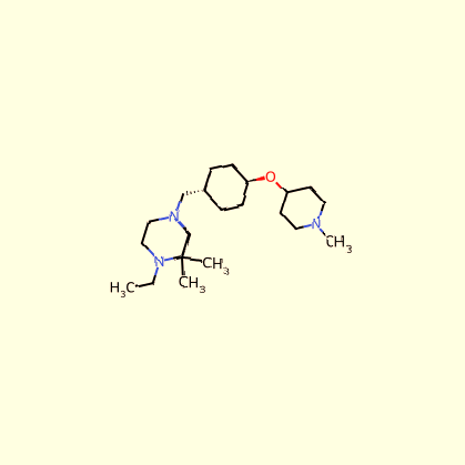 CCN1CCN(C[C@H]2CC[C@H](OC3CCN(C)CC3)CC2)CC1(C)C